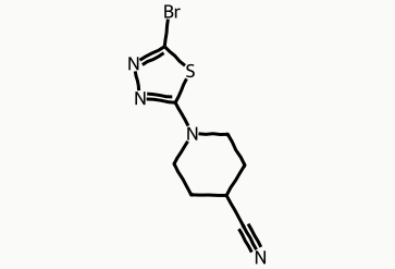 N#CC1CCN(c2nnc(Br)s2)CC1